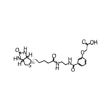 O=C(O)COc1cccc(C(=O)NCCNC(=O)CCCC[C@@H]2SC[C@@H]3NC(=O)N[C@@H]32)c1